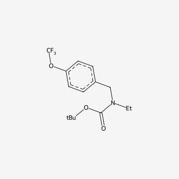 CCN(Cc1ccc(OC(F)(F)F)cc1)C(=O)OC(C)(C)C